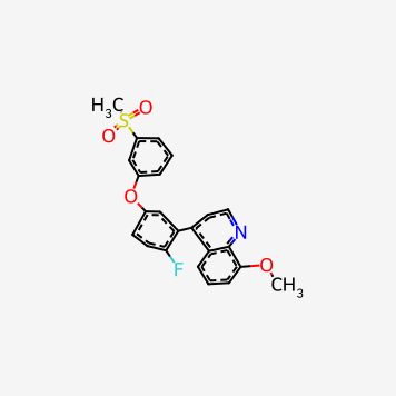 COc1cccc2c(-c3cc(Oc4cccc(S(C)(=O)=O)c4)ccc3F)ccnc12